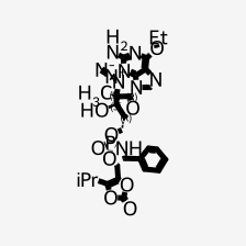 CCOc1nc(N)nc2c1ncn2[C@@H]1O[C@H](COP(=O)(NCc2ccccc2)OCc2oc(=O)oc2C(C)C)[C@@H](O)[C@@]1(C)N=[N+]=[N-]